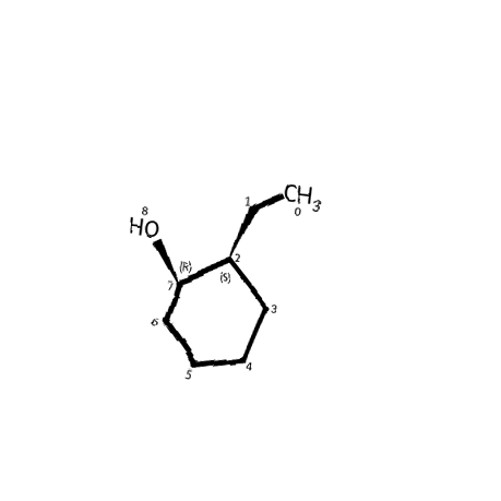 CC[C@H]1CCCC[C@H]1O